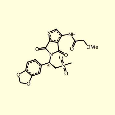 COCC(=O)Nc1csc2c1C(=O)N([C@@H](CS(C)(=O)=O)c1ccc3c(c1)OCO3)C2=O